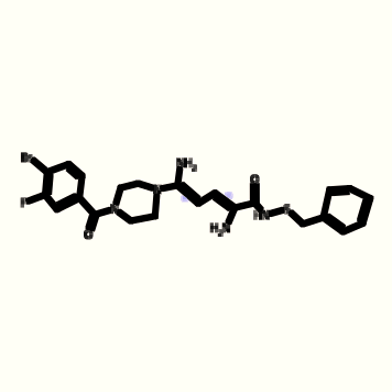 N/C(=C\C=C(/N)N1CCN(C(=O)c2ccc(Br)c(F)c2)CC1)C(=O)NSCc1ccccc1